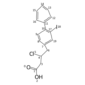 O=C(O)CC(Cl)Cc1ccc(-c2ccccc2)c(I)c1